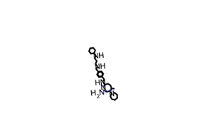 C/C1=C(N2CCCCCC2)/C=C(N)\N=C(\NCc2ccc(CNCCCNC3CCCCC3)cc2)CC1